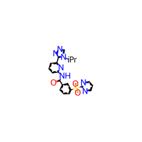 CC(C)n1cnnc1-c1cccc(NC(=O)c2cccc(S(=O)(=O)c3ncccn3)c2)n1